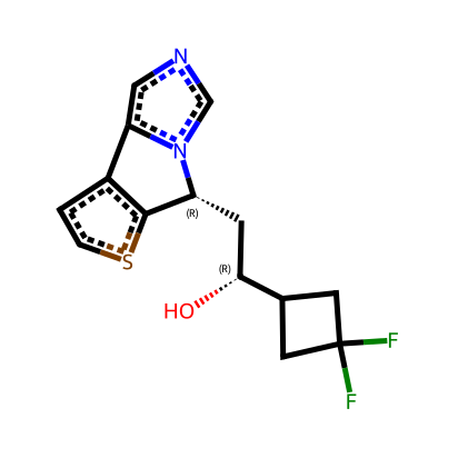 O[C@H](C[C@@H]1c2sccc2-c2cncn21)C1CC(F)(F)C1